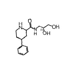 O=C(NC[C@H](O)CO)C1CC(c2ccccc2)CCN1